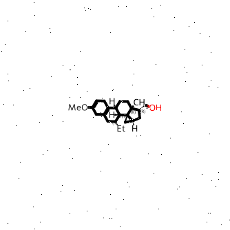 CC[C@@H]1CC2=C(CC=C(OC)C2)[C@H]2CC[C@]3(C)[C@H](CO)C[C@H]4C[C@]43[C@H]12